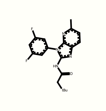 Cc1ccc2nc(NC(=O)CC(C)(C)C)n(-c3cc(F)cc(F)c3)c2n1